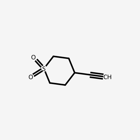 C#CC1CCS(=O)(=O)CC1